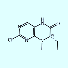 CC[C@H]1C(=O)Nc2cnc(Cl)nc2N1C